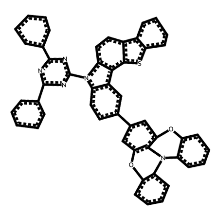 c1ccc(-c2nc(-c3ccccc3)nc(-n3c4ccc(-c5cc6c7c(c5)Oc5ccccc5N7c5ccccc5O6)cc4c4c5sc6ccccc6c5ccc43)n2)cc1